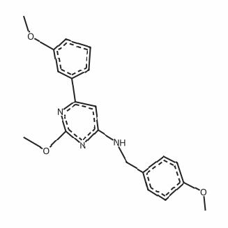 COc1ccc(CNc2cc(-c3cccc(OC)c3)nc(OC)n2)cc1